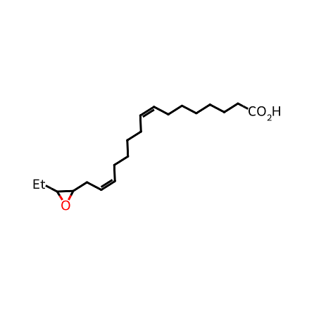 CCC1OC1C/C=C\CCCC/C=C\CCCCCCC(=O)O